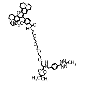 Cc1nnc(-c2ccc(CNC(CCOCCOCCOCCOCCNC(=O)c3ccc(C4=c5cc6c7c(c5Oc5c4cc4c8c5CCCN8CCC4)CCC[N+]=7CCC6)c(C(=O)O)c3)=C3OCC(C)(C)CO3)cc2)nn1